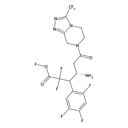 N[C@@H](CC(=O)N1CCn2c(nnc2C(F)(F)F)C1)C(c1cc(F)c(F)cc1F)C(F)(F)C(=O)OF